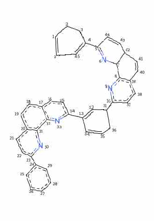 C1=CCCC(C2=NC3c4nc(C5C=C(c6ccc7ccc8ccc(-c9ccccc9)nc8c7n6)C=CC5)ccc4C=CC3C=C2)=C1